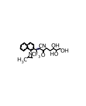 CC1CN1c1c(/C(=C(\C#N)C(=O)CCC(O)C(O)CO)C(F)(F)F)ccc2ccccc12